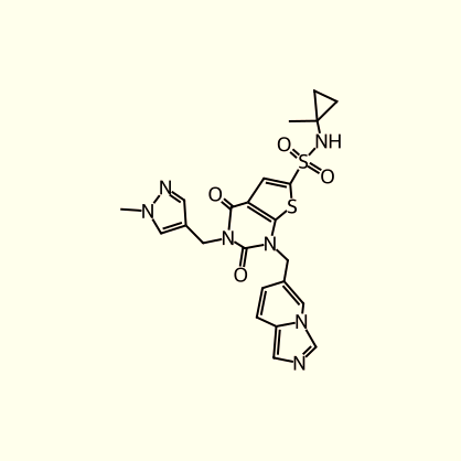 Cn1cc(Cn2c(=O)c3cc(S(=O)(=O)NC4(C)CC4)sc3n(Cc3ccc4cncn4c3)c2=O)cn1